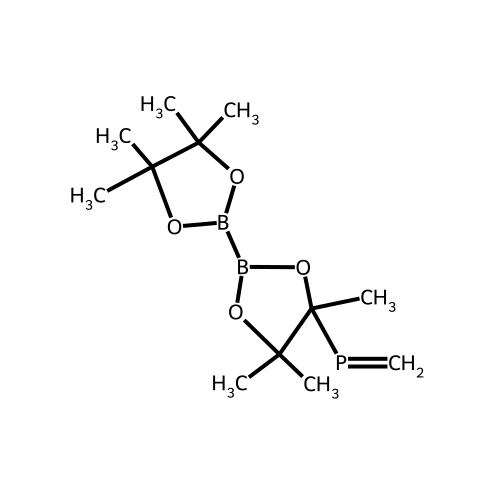 C=PC1(C)OB(B2OC(C)(C)C(C)(C)O2)OC1(C)C